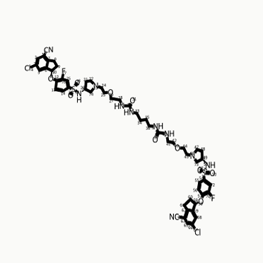 N#Cc1cc(Cl)cc2c1CC[C@H]2Oc1ccc(S(=O)(=O)N[C@@H]2CCN(CCOCCNC(=O)NCCCCNC(=O)NCCOCCN3CC[C@@H](NS(=O)(=O)c4ccc(O[C@@H]5CCc6c(C#N)cc(Cl)cc65)c(F)c4)C3)C2)cc1F